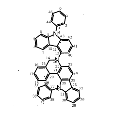 c1ccc(-n2c3ccccc3c3c(N4Cc5ccccc5-c5c4ccc4c6ccccc6n(-c6ccccc6)c54)cccc32)cc1